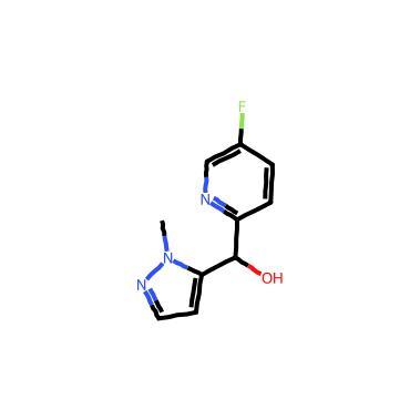 Cn1nccc1C(O)c1ccc(F)cn1